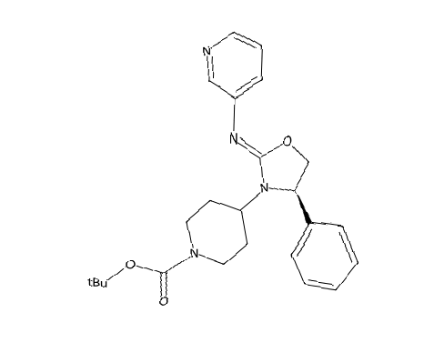 CC(C)(C)OC(=O)N1CCC(N2C(=Nc3cccnc3)OC[C@H]2c2ccccc2)CC1